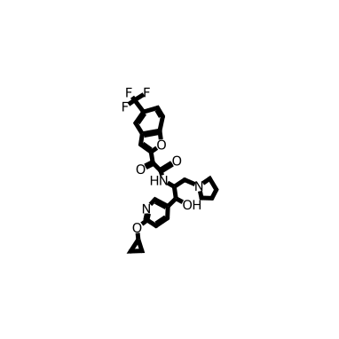 O=C(NC(CN1CCCC1)C(O)c1ccc(OC2CC2)nc1)C(=O)c1cc2cc(C(F)(F)F)ccc2o1